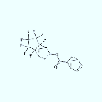 O=C(OC1CC2CC1C1(F)C(F)(F)C(F)(F)C(F)(F)C21F)C1CC2C=CC1C2